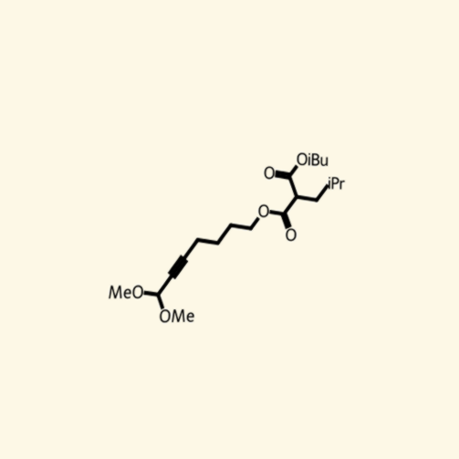 COC(C#CCCCCOC(=O)C(CC(C)C)C(=O)OCC(C)C)OC